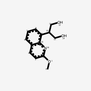 COc1ccc2cccc(C(CO)CO)c2n1